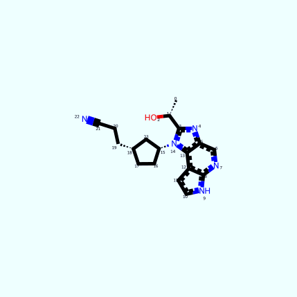 C[C@@H](O)c1nc2cnc3[nH]ccc3c2n1[C@@H]1CC[C@H](CCC#N)C1